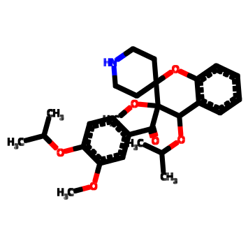 COc1cc(C(=O)C2(OC)C(OC(C)C)c3ccccc3OC23CCNCC3)ccc1OC(C)C